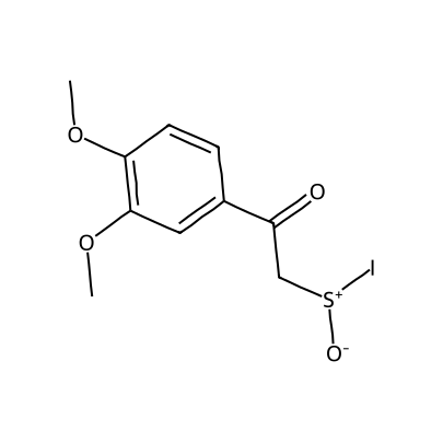 COc1ccc(C(=O)C[S+]([O-])I)cc1OC